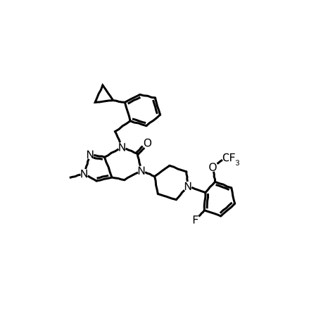 Cn1cc2c(n1)N(Cc1ccccc1C1CC1)C(=O)N(C1CCN(c3c(F)cccc3OC(F)(F)F)CC1)C2